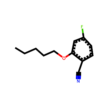 CCCCCOc1cc(F)ccc1C#N